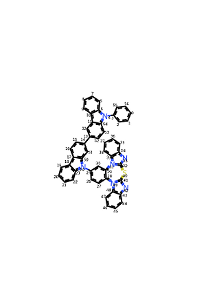 c1ccc(-n2c3ccccc3c3cc(-c4ccc5c6ccccc6n(-c6ccc7c(c6)n6c(nc8ccccc86)sc6nc8ccccc8n67)c5c4)ccc32)cc1